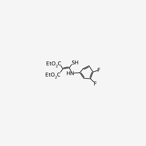 CCOC(=O)C(C(=O)OCC)=C(S)Nc1ccc(F)c(F)c1